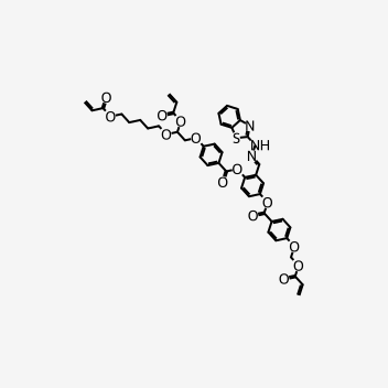 C=CC(=O)OCCCCCOC(COc1ccc(C(=O)Oc2ccc(OC(=O)c3ccc(OCOC(=O)C=C)cc3)cc2/C=N/Nc2nc3ccccc3s2)cc1)OC(=O)C=C